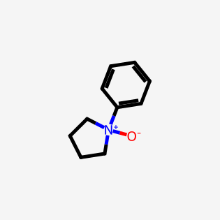 [O-][N+]1(c2ccccc2)CCCC1